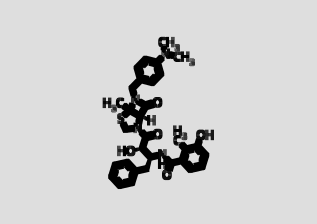 Cc1c(O)cccc1C(=O)N[C@@H](Cc1ccccc1)[C@H](O)C(=O)N1CSC2(C)[C@H]1C(=O)N2Cc1ccc(N(C)C)cc1